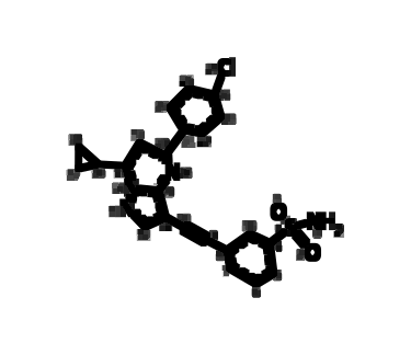 NS(=O)(=O)c1cccc(C#Cc2cnn3c(C4CC4)cc(-c4ccc(Cl)cc4)nc23)c1